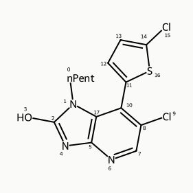 CCCCCn1c(O)nc2ncc(Cl)c(-c3ccc(Cl)s3)c21